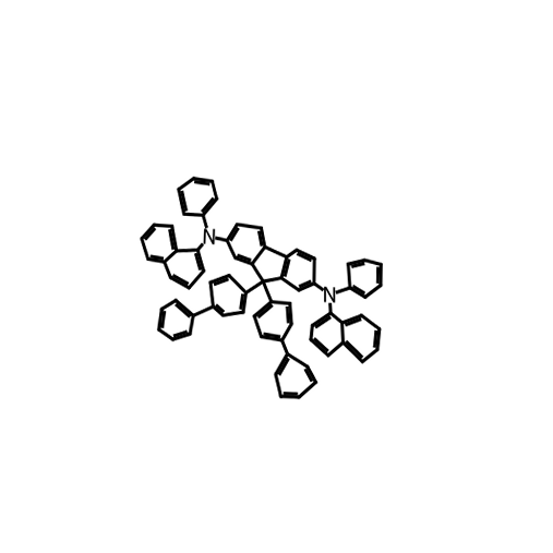 c1ccc(-c2ccc(C3(c4ccc(-c5ccccc5)cc4)c4cc(N(c5ccccc5)c5cccc6ccccc56)ccc4-c4ccc(N(c5ccccc5)c5cccc6ccccc56)cc43)cc2)cc1